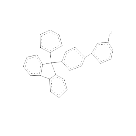 Nc1cccc(-c2ccc(C3(c4ccccc4)c4ccccc4-c4ccccc43)cc2)c1